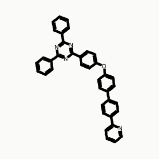 c1ccc(-c2nc(-c3ccccc3)nc(-c3ccc(Oc4ccc(-c5ccc(-c6ccccn6)cc5)cc4)cc3)n2)cc1